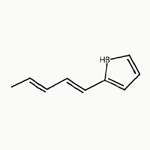 CC=CC=CC1=CC=CB1